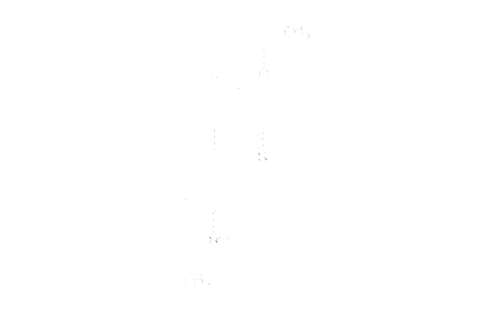 CCNC(=O)Cc1ccc(C(=O)OCC)cn1